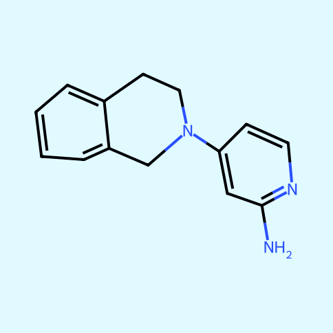 Nc1cc(N2CCc3ccccc3C2)ccn1